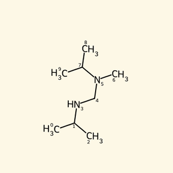 CC(C)NCN(C)C(C)C